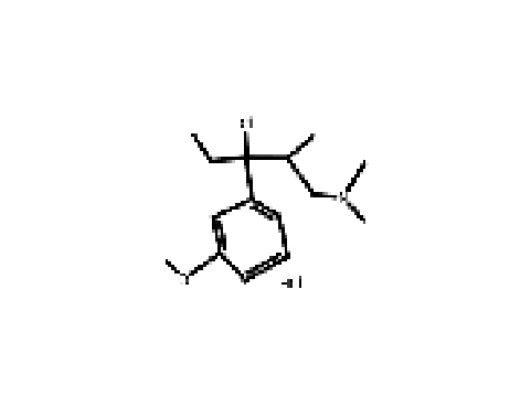 CCC(Cl)(c1cccc(OC)c1)C(C)CN(C)C.Cl